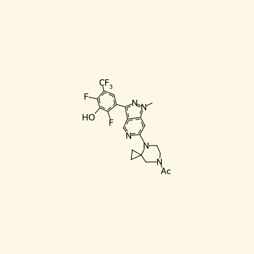 CC(=O)N1CCN(c2cc3c(cn2)c(-c2cc(C(F)(F)F)c(F)c(O)c2F)nn3C)C2(CC2)C1